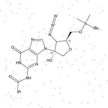 CC(C)C(=O)Nc1nc2c(ncn2[C@]2(O)CO[C@H](CO[Si](C)(C)C(C)(C)C)C2N=[N+]=[N-])c(=O)[nH]1